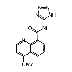 COc1ccnc2c(C(=O)Nc3nnn[nH]3)cccc12